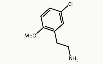 COc1ccc(Cl)cc1CCN